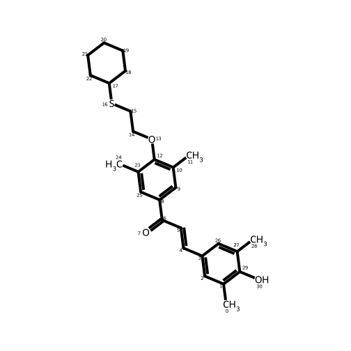 Cc1cc(/C=C/C(=O)c2cc(C)c(OCCSC3CCCCC3)c(C)c2)cc(C)c1O